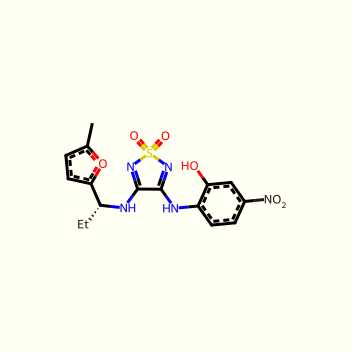 CC[C@@H](NC1=NS(=O)(=O)N=C1Nc1ccc([N+](=O)[O-])cc1O)c1ccc(C)o1